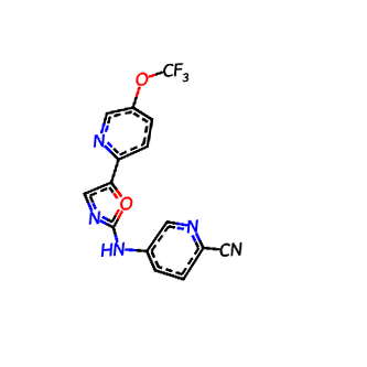 N#Cc1ccc(Nc2ncc(-c3ccc(OC(F)(F)F)cn3)o2)cn1